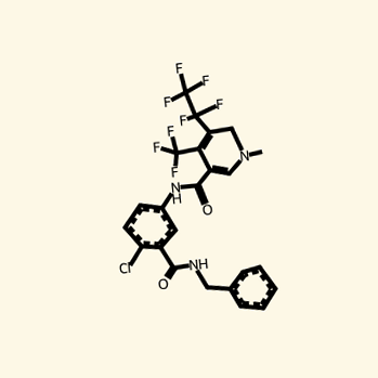 CN1C=C(C(=O)Nc2ccc(Cl)c(C(=O)NCc3ccccc3)c2)C(C(F)(F)F)=C(C(F)(F)C(F)(F)F)C1